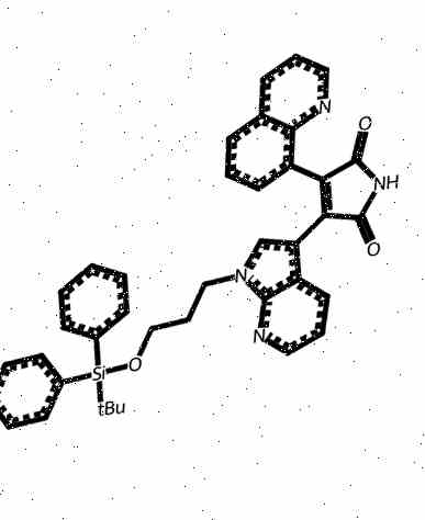 CC(C)(C)[Si](OCCCn1cc(C2=C(c3cccc4cccnc34)C(=O)NC2=O)c2cccnc21)(c1ccccc1)c1ccccc1